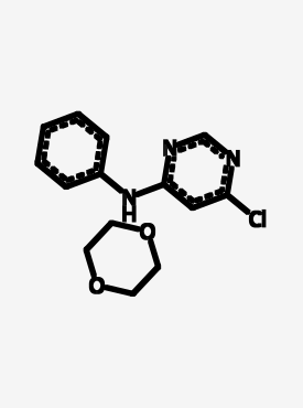 C1COCCO1.Clc1cc(Nc2ccccc2)ncn1